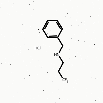 Cl.FC(F)(F)CCNCc1ccccc1